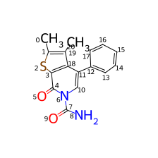 Cc1sc2c(=O)n(C(N)=O)cc(-c3ccccc3)c2c1C